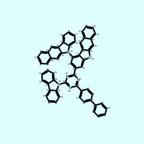 c1ccc(-c2ccc(-c3nc(-c4cc(-n5c6ccccc6c6cc7ccccc7cc65)c5c(c4)oc4cc6ccccc6cc45)nc(-n4c5ccccc5c5ccccc54)n3)cc2)cc1